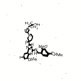 COc1ccc(CNc2nc3c(OC)cc(F)cc3c3nc(C4(F)CCCN(c5cnn(CC(C)(C)O)c5)C4)nn23)c(OC)c1